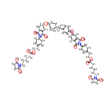 CC(C)(c1ccc(Oc2ccc3c(c2)C(=O)N(c2ccc(CCOC(=O)CCCCCN4C(=O)C=CC4=O)cc2)C3=O)cc1)c1ccc(Oc2ccc3c(c2)C(=O)N(c2ccc(CCOC(=O)CCCCCN4C(=O)C=CC4=O)cc2)C3=O)cc1